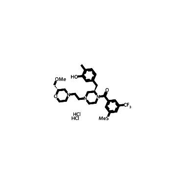 COC[C@@H]1CN(CCN2CCN(C(=O)c3cc(SC)cc(C(F)(F)F)c3)[C@H](Cc3ccc(C)c(O)c3)C2)CCO1.Cl.Cl